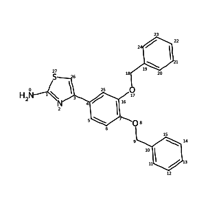 Nc1nc(-c2ccc(OCc3ccccc3)c(OCc3ccccc3)c2)cs1